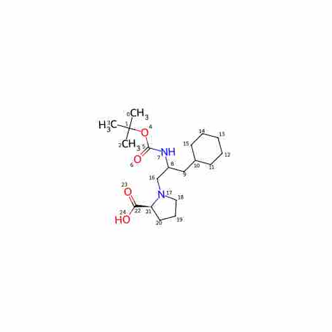 CC(C)(C)OC(=O)NC(CC1CCCCC1)CN1CCC[C@H]1C(=O)O